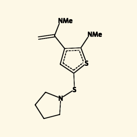 C=C(NC)c1cc(SN2CCCC2)sc1NC